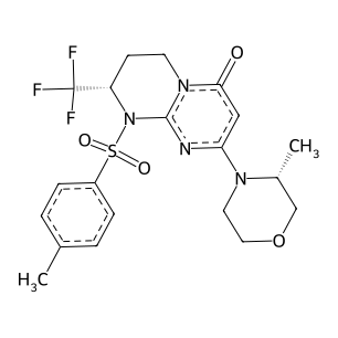 Cc1ccc(S(=O)(=O)N2c3nc(N4CCOC[C@H]4C)cc(=O)n3CC[C@H]2C(F)(F)F)cc1